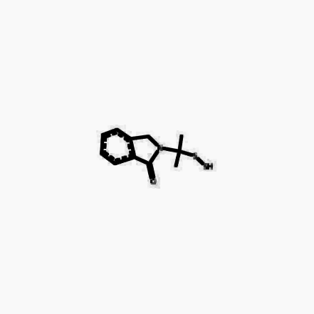 CC(C)(SS)N1Cc2ccccc2C1=O